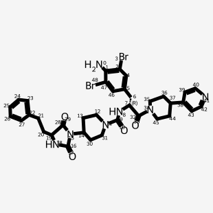 Nc1c(Br)cc(C[C@@H](NC(=O)N2CCC(N3C(=O)NC(CCc4ccccc4)C3=O)CC2)C(=O)N2CCC(c3ccncc3)CC2)cc1Br